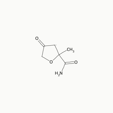 CC1(C(N)=O)[CH]C(=O)CO1